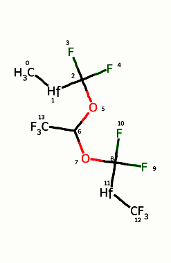 [CH3][Hf][C](F)(F)OC(O[C](F)(F)[Hf][C](F)(F)F)C(F)(F)F